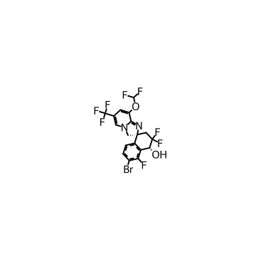 O[C@@H]1c2c(ccc(Br)c2F)[C@]2(CN3C=C(C(F)(F)F)C=C(OC(F)F)C3=N2)CC1(F)F